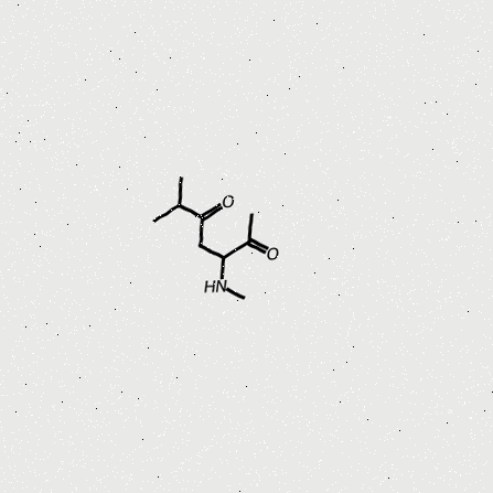 CNC(CC(=O)C(C)C)C(C)=O